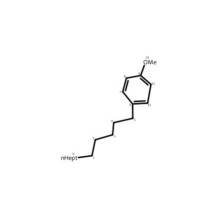 CCCCCCCCCCCCc1ccc(OC)cc1